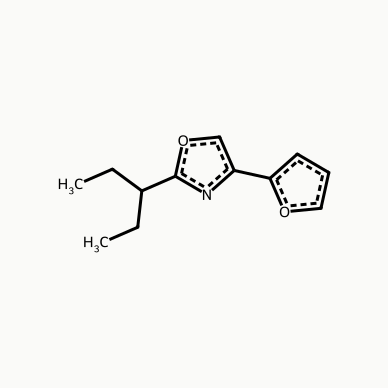 CCC(CC)c1nc(-c2ccco2)co1